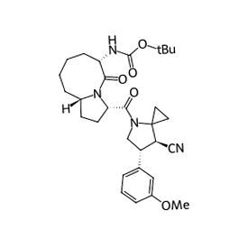 COc1cccc([C@@H]2CN(C(=O)[C@@H]3CC[C@@H]4CCCC[C@H](NC(=O)OC(C)(C)C)C(=O)N43)C3(CC3)[C@H]2C#N)c1